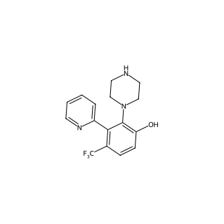 Oc1ccc(C(F)(F)F)c(-c2ccccn2)c1N1CCNCC1